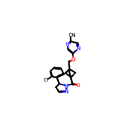 N#Cc1cnc(OCC23CC(C(=O)N4N=CCC4c4ccccc4Cl)(C2)C3)cn1